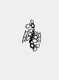 OC(=Cc1ccc(Cl)c(Cl)c1)[C@@H](O)[C@@H](O)[C@H](O)[C@@H](O)C(O)=Cc1ccc(Cl)c(Cl)c1